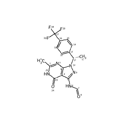 Cc1nc2c(c(NC=O)nn2[C@@H](C)c2ccc(C(F)(F)F)cc2)c(=O)[nH]1